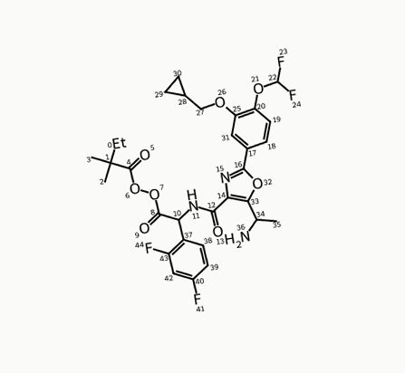 CCC(C)(C)C(=O)OOC(=O)C(NC(=O)c1nc(-c2ccc(OC(F)F)c(OCC3CC3)c2)oc1C(C)N)c1ccc(F)cc1F